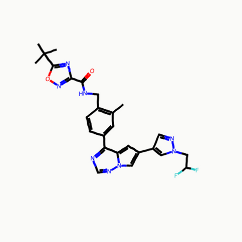 Cc1cc(-c2ncnn3cc(-c4cnn(CC(F)F)c4)cc23)ccc1CNC(=O)c1noc(C(C)(C)C)n1